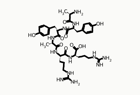 C[C@H](N)C(=O)N[C@@H](Cc1ccc(O)cc1)C(=O)N[C@@H](Cc1ccc(O)cc1)C(=O)N[C@@H](C)C(=O)N[C@@H](CCCNC(=N)N)C(=O)N[C@@H](CCCNC(=N)N)C(=O)O